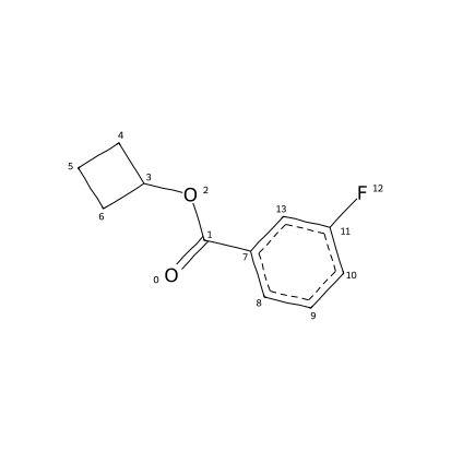 O=C(OC1CCC1)c1cccc(F)c1